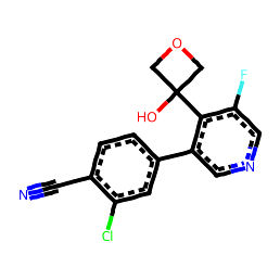 N#Cc1ccc(-c2cncc(F)c2C2(O)COC2)cc1Cl